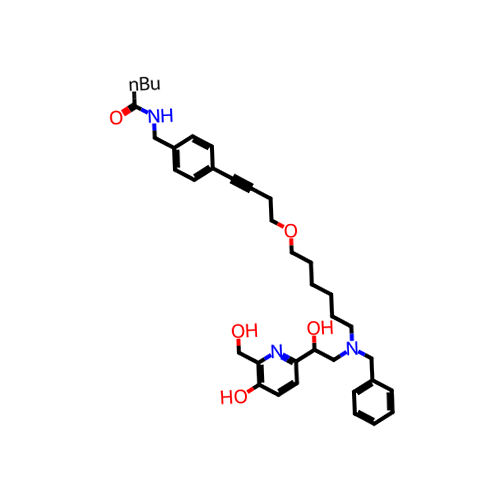 CCCCC(=O)NCc1ccc(C#CCCOCCCCCCN(Cc2ccccc2)CC(O)c2ccc(O)c(CO)n2)cc1